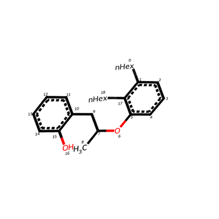 CCCCCCc1cccc(OC(C)Cc2ccccc2O)c1CCCCCC